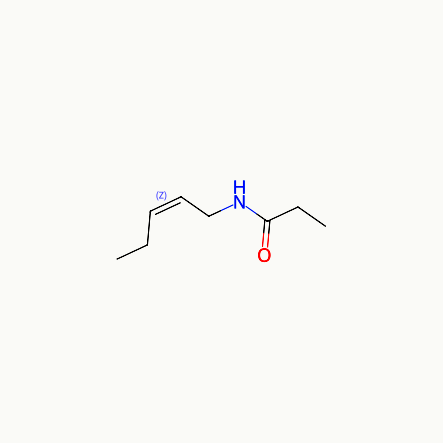 CC/C=C\CNC(=O)CC